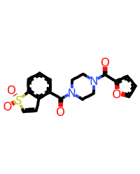 O=C(c1ccco1)N1CCN(C(=O)c2cccc3c2C=CS3(=O)=O)CC1